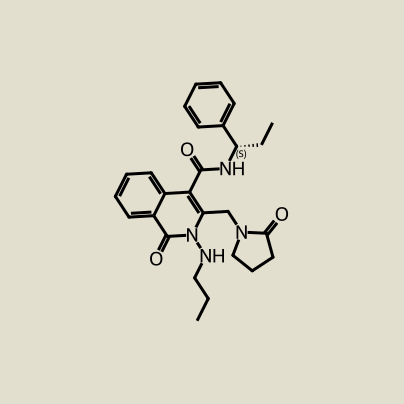 CCCNn1c(CN2CCCC2=O)c(C(=O)N[C@@H](CC)c2ccccc2)c2ccccc2c1=O